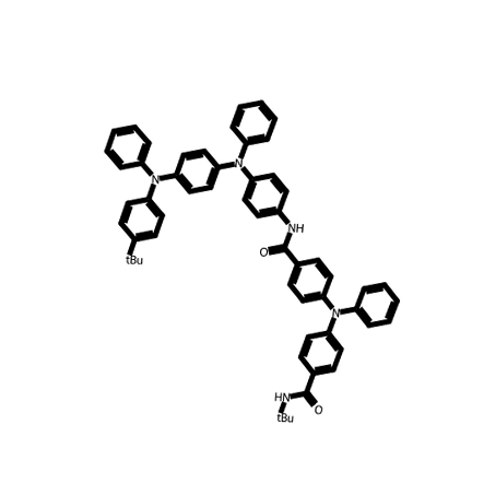 CC(C)(C)NC(=O)c1ccc(N(c2ccccc2)c2ccc(C(=O)Nc3ccc(N(c4ccccc4)c4ccc(N(c5ccccc5)c5ccc(C(C)(C)C)cc5)cc4)cc3)cc2)cc1